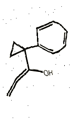 C=C=C(O)C1(c2ccccc2)CC1